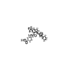 O=C(NC[C@H]1CC[C@H](C(=O)O)CC1)c1cc(C(F)(F)F)cc2ccn(Cc3csc(-c4ccccc4)n3)c12